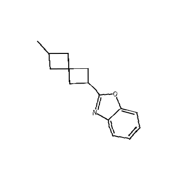 CC1CC2(C1)CC(c1nc3ccccc3o1)C2